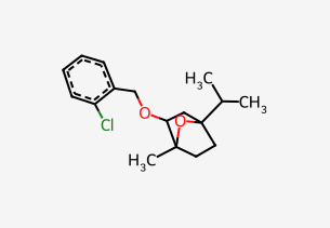 CC(C)C12CCC(C)(O1)C(OCc1ccccc1Cl)C2